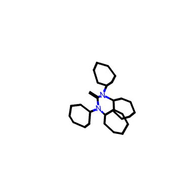 C=C(N(C1CCCCCC1)C1CCCCCC1)N(C1CCCCCC1)C1CCCCCC1